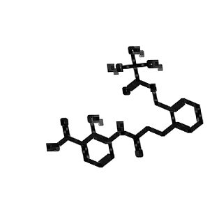 Cc1c(NC(=O)CCc2ccccc2CSC(=O)C(C)(C)C)cccc1C(=O)O